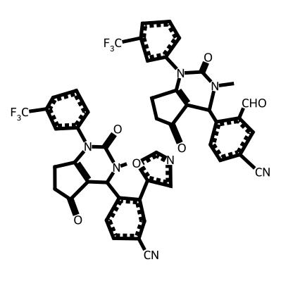 CN1C(=O)N(c2cccc(C(F)(F)F)c2)C2=C(C(=O)CC2)C1c1ccc(C#N)cc1-c1cnco1.CN1C(=O)N(c2cccc(C(F)(F)F)c2)C2=C(C(=O)CC2)C1c1ccc(C#N)cc1C=O